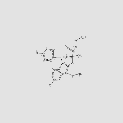 CC(C)c1ccc2c(c1)c(SC(C)(C)C)c(CC(C)(C)C(=O)NCC(=O)O)n2Cc1ccc(Cl)cc1